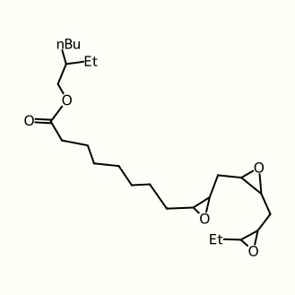 CCCCC(CC)COC(=O)CCCCCCCC1OC1CC1OC1CC1OC1CC